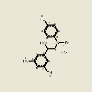 Br.CC(C)N(CC(O)c1cc(O)cc(O)c1)c1ccc(O)cc1